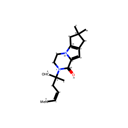 CN/C=C\CC(C)(C=O)N1CCn2c(cc3c2CC(C)(C)C3)C1=O